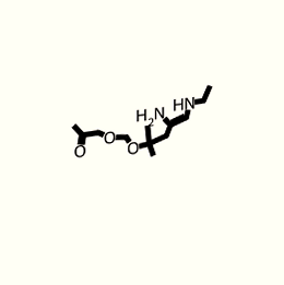 CCN/C=C(\N)CC(C)(C)OCOCC(C)=O